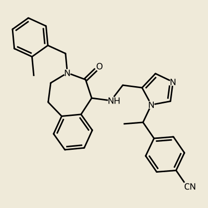 Cc1ccccc1CN1CCc2ccccc2C(NCc2cncn2C(C)c2ccc(C#N)cc2)C1=O